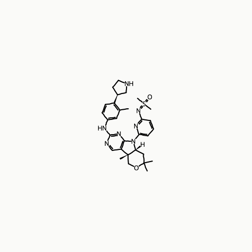 Cc1cc(Nc2ncc3c(n2)N(c2cccc(N=S(C)(C)=O)n2)[C@@H]2CC(C)(C)OC[C@]32C)ccc1[C@H]1CCNC1